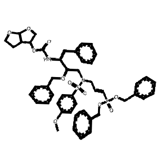 COc1ccc(S(=O)(=O)N(CC=CP(=O)(OCc2ccccc2)OCc2ccccc2)CC(OCc2ccccc2)C(Cc2ccccc2)NC(=O)OC2COC3OCCC23)cc1